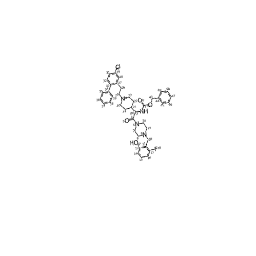 O=C(N[C@@H](C(=O)N1CCN(Cc2c(O)cccc2F)CC1)C1CCN(CCc2cc(Cl)ccc2-c2ccccc2)CC1)OCc1ccccc1